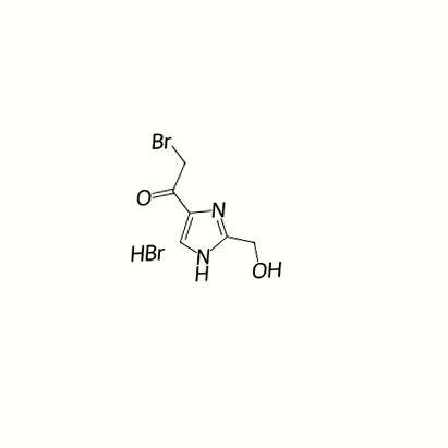 Br.O=C(CBr)c1c[nH]c(CO)n1